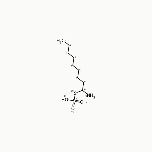 CCCCCCCCC(N)SS(=O)(=O)O